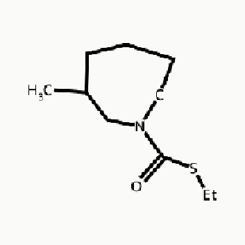 CCSC(=O)N1CCCCC(C)C1